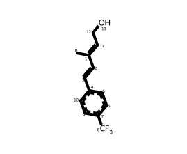 CC(/C=C/c1ccc(C(F)(F)F)cc1)=C\CO